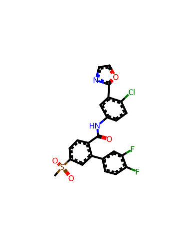 CS(=O)(=O)c1ccc(C(=O)Nc2ccc(Cl)c(-c3ncco3)c2)c(-c2ccc(F)c(F)c2)c1